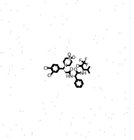 CC(C)[C@H](NC(=O)[C@@H](NC(=O)C[C@H](c1ccc(Cl)c(Cl)c1)N1CCS(=O)(=O)CC1)c1ccccc1)C(=O)C(F)(F)F